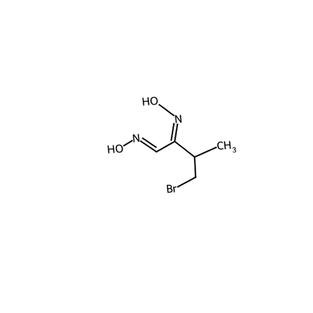 CC(CBr)C(C=NO)=NO